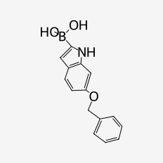 OB(O)c1cc2ccc(OCc3ccccc3)cc2[nH]1